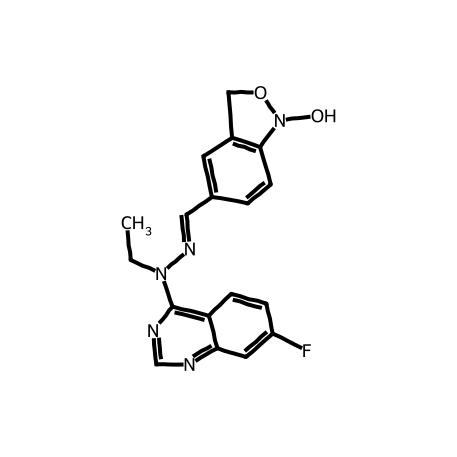 CCN(/N=C/c1ccc2c(c1)CON2O)c1ncnc2cc(F)ccc12